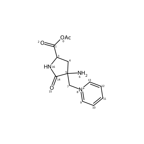 CC(=O)OC(=O)C1CC(N)(C[n+]2ccccc2)C(=O)N1